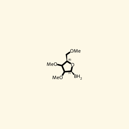 B[C@@H]1O[C@H](COC)C(OC)C1OC